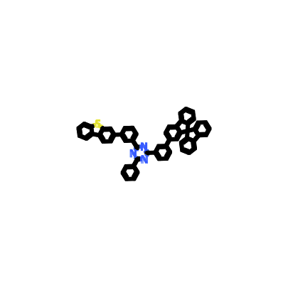 c1ccc(-c2nc(-c3cccc(-c4ccc5c(c4)C4(c6ccccc6-c6ccccc64)c4ccccc4-5)c3)nc(-c3cccc(-c4ccc5c(c4)sc4ccccc45)c3)n2)cc1